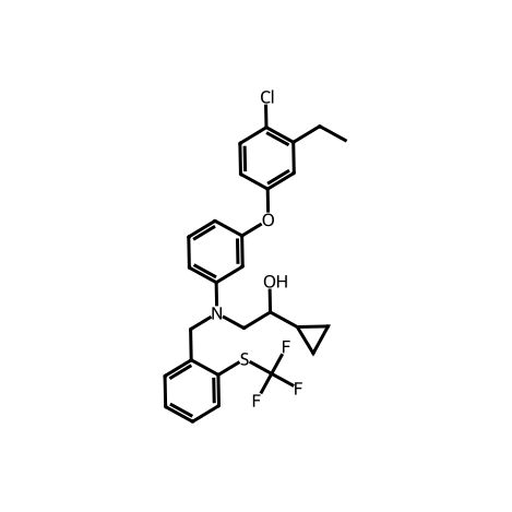 CCc1cc(Oc2cccc(N(Cc3ccccc3SC(F)(F)F)CC(O)C3CC3)c2)ccc1Cl